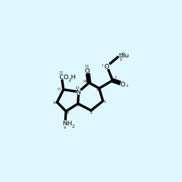 CC(C)(C)OC(=O)C1CCC2C(N)CC(C(=O)O)N2C1=O